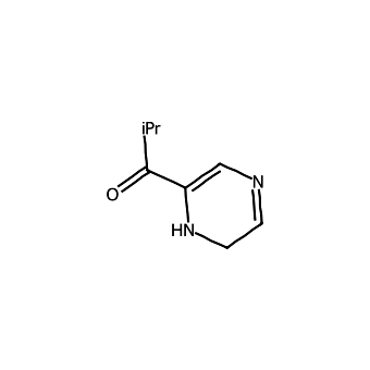 CC(C)C(=O)C1=CN=CCN1